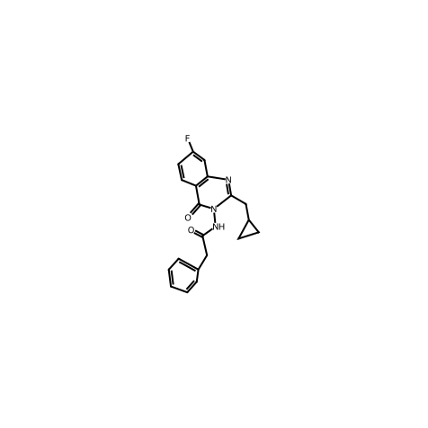 O=C(Cc1ccccc1)Nn1c(CC2CC2)nc2cc(F)ccc2c1=O